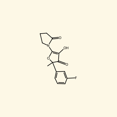 CC1(c2cccc(F)c2)OC(N2CCCC2=O)=C(O)C1=O